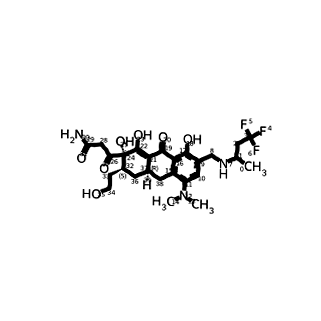 CC(CC(F)(F)F)NCc1cc(N(C)C)c2c(c1O)C(=O)C1=C(O)[C@](O)(C(=O)CC(N)=O)[C@H](CCO)C[C@@H]1C2